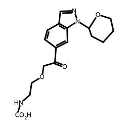 O=C(O)NCCOCC(=O)c1ccc2cnn(C3CCCCO3)c2c1